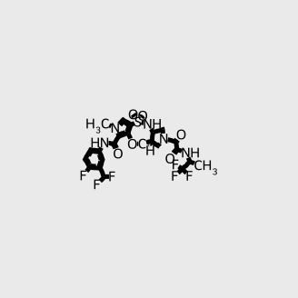 CC(NC(=O)C(=O)N1CC2NS(=O)(=O)c3cn(C)c(C(=O)Nc4ccc(F)c(C(F)F)c4)c3OC[C@@H]2C1)C(F)(F)F